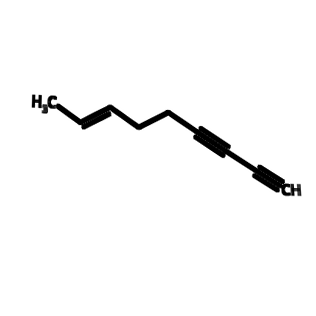 C#CC#CCCC=CC